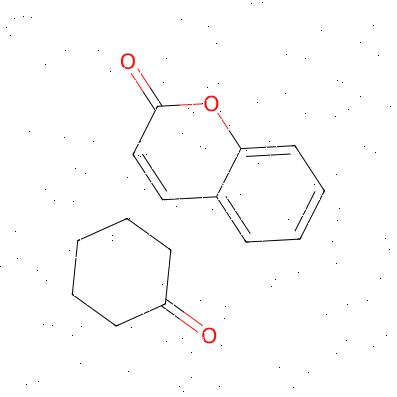 O=C1CCCCC1.O=c1ccc2ccccc2o1